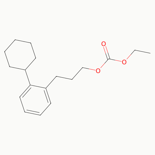 CCOC(=O)OCCCc1ccccc1C1CCCCC1